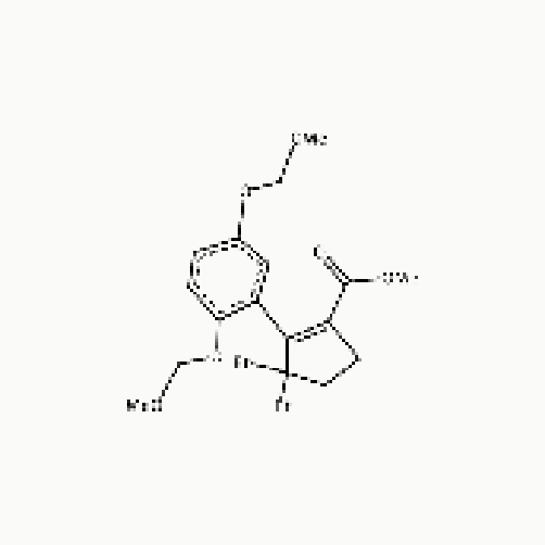 CCC1(CC)CCC(C(=O)OC)=C1c1cc(OCOC)ccc1OCOC